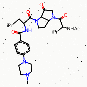 CC(=O)NC(C(=O)N1CC(=O)C2C1CCN2C(=O)C(CC(C)C)NC(=O)c1ccc(N2CCN(C)CC2)cc1)C(C)C